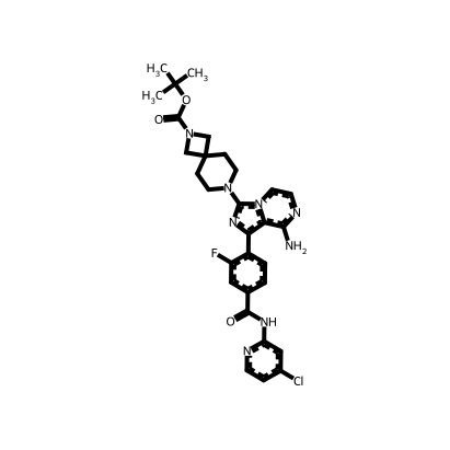 CC(C)(C)OC(=O)N1CC2(CCN(c3nc(-c4ccc(C(=O)Nc5cc(Cl)ccn5)cc4F)c4c(N)nccn34)CC2)C1